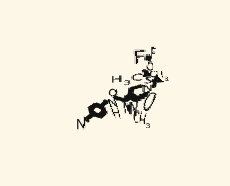 Cn1nc(C(=O)NCc2ccc(C#N)cc2)c2c1C(=O)N(CC1(SC(C)(C)COC(F)F)CC1)CC2